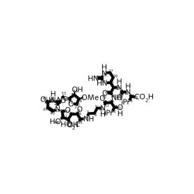 CO[C@H]1[C@H](OC(C(NCCCNC(=O)C(NC(=O)C(NC(=O)NC(C(=O)O)C(C)C)C2CCNC(=N)N2)C(O)C(C)C)C(=O)O)C2O[C@@H](n3ccc(=O)[nH]c3=O)C(O)C2O)O[C@H](CN)[C@H]1O